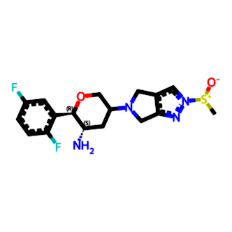 C[S+]([O-])n1cc2c(n1)CN(C1CO[C@H](c3cc(F)ccc3F)[C@@H](N)C1)C2